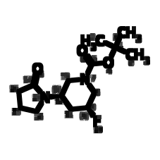 CC(C)(C)OC(=O)N1C[C@@H](F)C[C@@H](N2CCCC2=O)C1